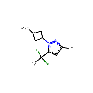 COC1CC(n2nc(C(C)C)cc2C(F)(F)C(F)(F)F)C1